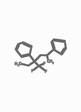 CCC(CC(C)c1ccccc1)(c1ccccc1)C(F)(F)F